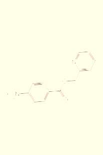 O=C(OCc1ccccn1)c1ccc([N+](=O)[O-])cc1